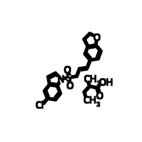 CCC(C)C(=O)O.O=S(=O)(CC=Cc1ccc2c(c1)CCO2)n1ccc2cc(Cl)ccc21